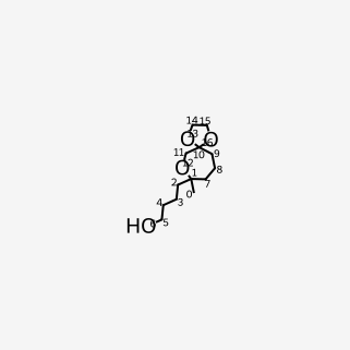 CC1(CCCCO)CCCC2(CO1)OCCO2